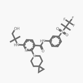 CC(C)(CO)Nc1ccc(C(=O)Nc2cccc(S(=O)(=O)C(C)(C)C(F)(F)F)c2)c(N2CCC3(CC2)CC3)n1